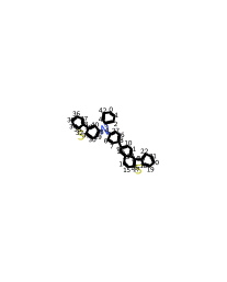 c1ccc(N(c2ccc(-c3ccc4c(ccc5sc6ccccc6c54)c3)cc2)c2ccc3sc4ccccc4c3c2)cc1